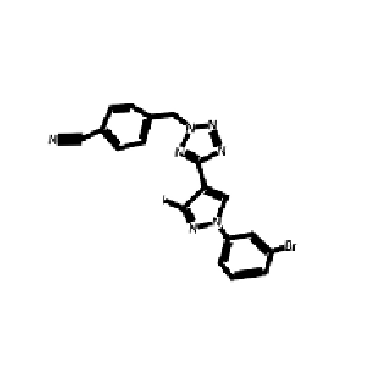 N#Cc1ccc(Cn2nnc(-c3cn(-c4cccc(Br)c4)nc3I)n2)cc1